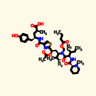 CCCC(=O)OCN(C(=O)[C@@H](NC(=O)[C@H]1CCCCN1C)C(C)CC)[C@H](C[C@@H](OC(C)=O)c1nc(C(=O)N[C@H](Cc2ccc(O)cc2)C[C@H](C)C(=O)O)cs1)C(C)C